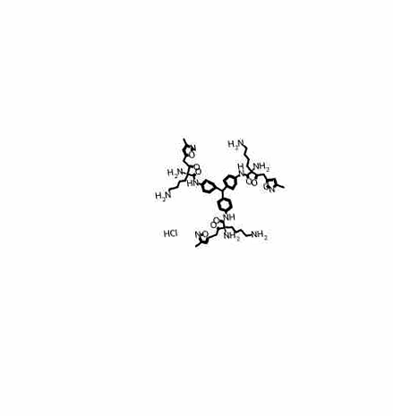 Cc1cc(CC(=O)[C@@](N)(CCCCN)C(=O)Nc2ccc(C(c3ccc(NC(=O)[C@](N)(CCCCN)C(=O)Cc4cc(C)no4)cc3)c3ccc(NC(=O)[C@](N)(CCCCN)C(=O)Cc4cc(C)no4)cc3)cc2)on1.Cl